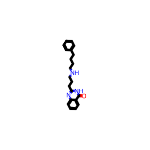 O=c1[nH]c(CCCNCCCCc2ccccc2)nc2ccccc12